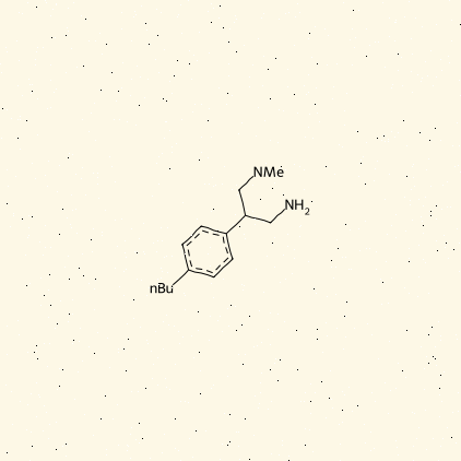 CCCCc1ccc(C(CN)CNC)cc1